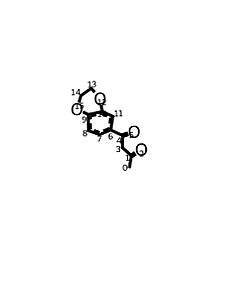 CC(=O)CC(=O)c1ccc2c(c1)OCCO2